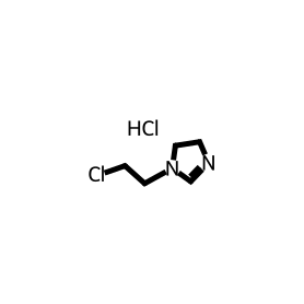 Cl.ClCCN1C=NCC1